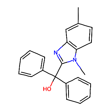 Cc1ccc2c(c1)nc(C(O)(c1ccccc1)c1ccccc1)n2C